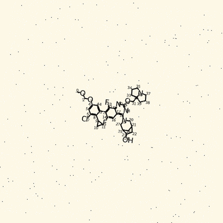 COCOc1cc(Cl)c(C2CC2)c(-c2c(F)cc3c(N4CC5CC(O)C(C5)C4)nc(OCC45CCCN4CCC5)nc3c2F)c1